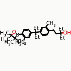 CCC(O)(CC)CCc1ccc(C(CC)(CC)c2ccc(B3OC(C)(C)C3(C)C)c(C)c2)cc1C